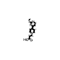 CSc1nncc(-c2cc[n+](CCC(=O)O)cc2)n1